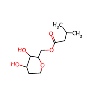 CC(C)CC(=O)OCC1OCCC(O)C1O